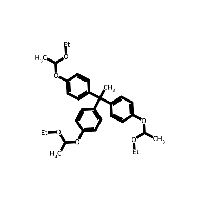 CCOC(C)Oc1ccc(C(C)(c2ccc(OC(C)OCC)cc2)c2ccc(OC(C)OCC)cc2)cc1